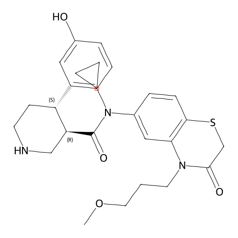 COCCCN1C(=O)CSc2ccc(N(C(=O)[C@H]3CNCC[C@@H]3c3cccc(O)c3)C3CC3)cc21